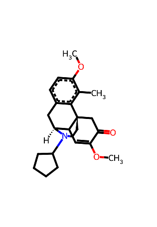 COC1=CC2[C@@H]3Cc4ccc(OC)c(C)c4[C@]2(CCN3C2CCCC2)CC1=O